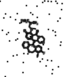 CCOC(=O)N(C)COc1c2n(ccc1=O)N([C@@H]1c3ccccc3SCc3c1ccc(F)c3F)C1COCCN1C2=O